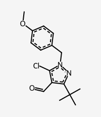 COc1ccc(Cn2nc(C(C)(C)C)c(C=O)c2Cl)cc1